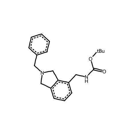 CC(C)(C)OC(=O)NCc1cccc2c1CN(Cc1ccccc1)C2